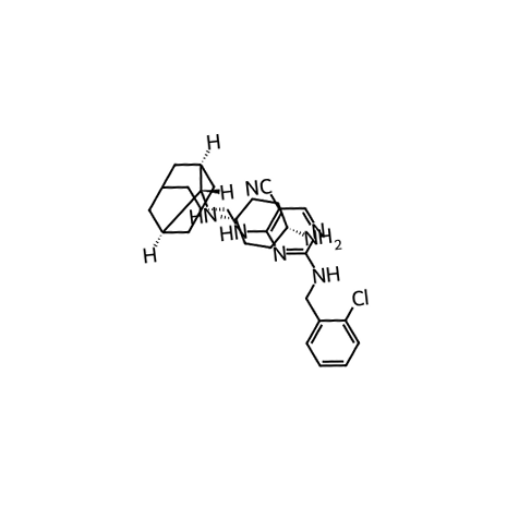 N#Cc1cnc(NCc2ccccc2Cl)nc1NC[C@@]12CC3C[C@H](C1)[C@@H](N[C@H]1CC[C@@H](N)CC1)[C@@H](C3)C2